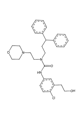 O=C(Nc1ccc(Cl)c(CCO)c1)N(CCC(c1ccccc1)c1ccccc1)CCN1CCOCC1